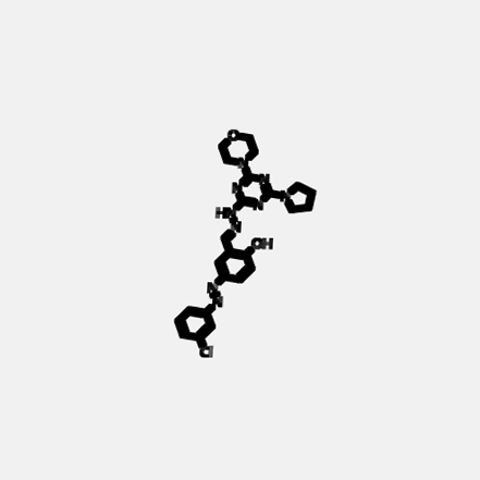 Oc1ccc(/N=N/c2cccc(Cl)c2)cc1/C=N/Nc1nc(N2CCCC2)nc(N2CCOCC2)n1